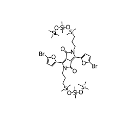 C[Si](C)(C)O[Si](C)(C)O[Si](C)(C)CCCN1C(=O)C2=C(c3ccc(Br)o3)N(CCC[Si](C)(C)O[Si](C)(C)O[Si](C)(C)C)C(=O)C2=C1c1ccc(Br)o1